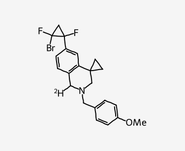 [2H]C1c2ccc(C3(F)CC3(F)Br)cc2C2(CC2)CN1Cc1ccc(OC)cc1